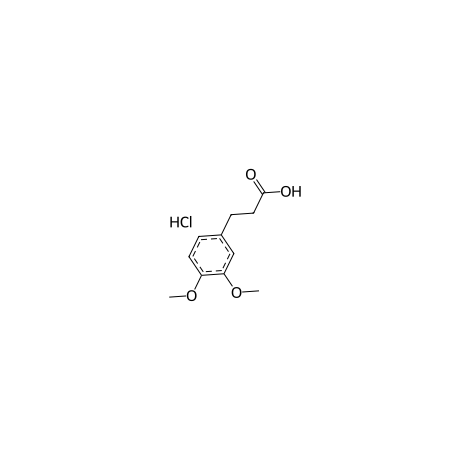 COc1ccc(CCC(=O)O)cc1OC.Cl